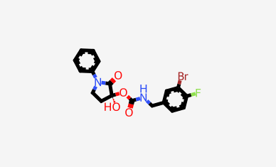 O=C(NCc1ccc(F)c(Br)c1)O[C@@]1(O)CCN(c2ccccc2)C1=O